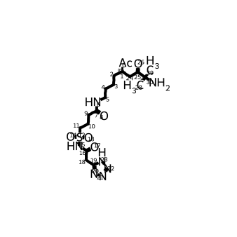 CC(=O)[C@H](CCCCNC(=O)CCCS(=O)(=O)NC(=O)Cc1nnn[nH]1)CC(=O)C(C)(C)N